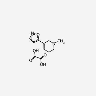 CN1CCC=C(c2ccno2)C1.O=C(O)C(=O)O